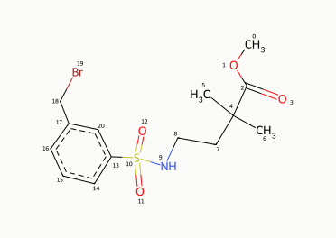 COC(=O)C(C)(C)CCNS(=O)(=O)c1cccc(CBr)c1